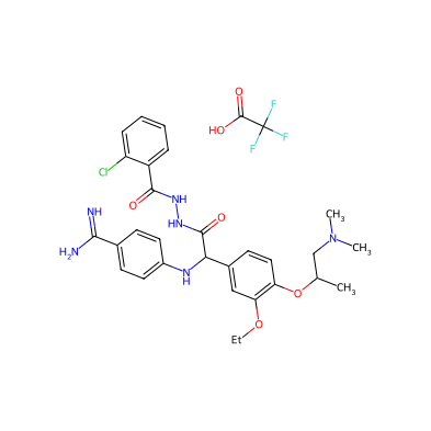 CCOc1cc(C(Nc2ccc(C(=N)N)cc2)C(=O)NNC(=O)c2ccccc2Cl)ccc1OC(C)CN(C)C.O=C(O)C(F)(F)F